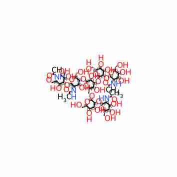 CC(=O)N[C@H]1[C@H](O[C@@H]([C@H](O)[C@H](C=O)NC(C)=O)[C@H](O)CO)O[C@H](CO)[C@@H](O[C@@H]2O[C@H](CO[C@H]3O[C@H](CO)[C@@H](O)[C@H](O)[C@@H]3O[C@@H]3O[C@H](CO)[C@@H](O)[C@H](O)[C@H]3NC(C)=O)[C@@H](O)[C@H](O[C@H]3O[C@H](CO)[C@@H](O)[C@H](O)[C@@H]3O[C@@H]3O[C@H](CO)[C@@H](O)[C@H](O)[C@H]3NC(C)=O)[C@@H]2O)[C@@H]1O